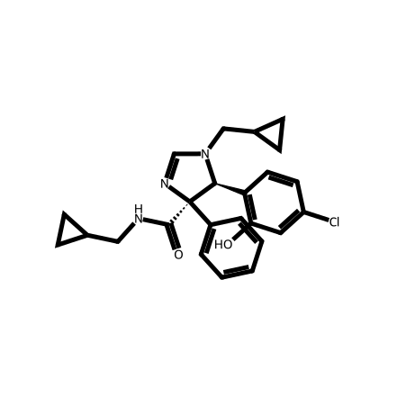 O=C(NCC1CC1)[C@]1(c2ccccc2)N=CN(CC2CC2)[C@H]1c1ccc(Cl)cc1O